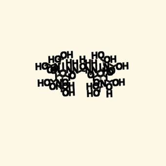 O=C(NCC(O)CNC(=O)Nc1c(I)c(C(=O)N(CC(O)CO)CC(O)CO)c(I)c(C(=O)N(CC(O)CO)CC(O)CO)c1I)Nc1c(I)c(C(=O)N(CC(O)CO)CC(O)CO)c(I)c(C(=O)N(CC(O)CO)CC(O)CO)c1I